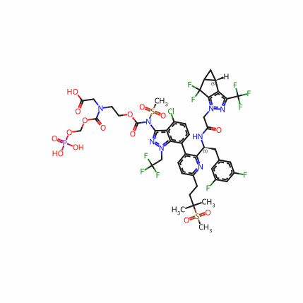 CC(C)(CCc1ccc(-c2ccc(Cl)c3c(N(C(=O)OCCN(CC(=O)O)C(=O)OCOP(=O)(O)O)S(C)(=O)=O)nn(CC(F)(F)F)c23)c([C@H](Cc2cc(F)cc(F)c2)NC(=O)Cn2nc(C(F)(F)F)c3c2C(F)(F)C2C[C@H]32)n1)S(C)(=O)=O